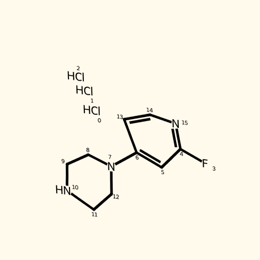 Cl.Cl.Cl.Fc1cc(N2CCNCC2)ccn1